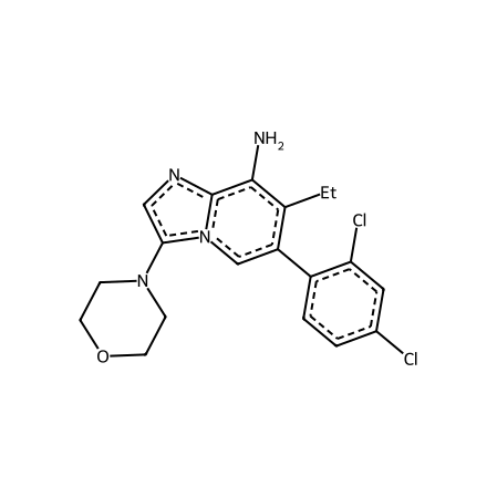 CCc1c(-c2ccc(Cl)cc2Cl)cn2c(N3CCOCC3)cnc2c1N